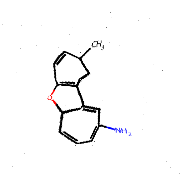 CC1C=CC2=C(C1)C1=CC(N)=CC=CC1O2